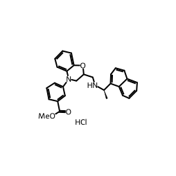 COC(=O)c1cccc(N2CC(CN[C@H](C)c3cccc4ccccc34)Oc3ccccc32)c1.Cl